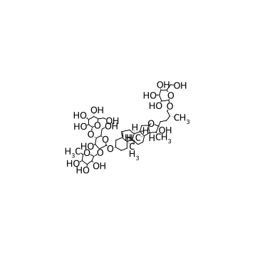 CC1O[C@@H](OC2[C@H](O[C@H]3CC[C@@]4(C)C(=CC[C@H]5[C@@H]6CC7OC(O)(CC[C@@H](C)CO[C@@H]8OC(CO)[C@@H](O)[C@H](O)C8O)[C@@H](C)[C@@H]7[C@@]6(C)CC[C@@H]54)C3)OC(CO)[C@@H](O[C@@H]3OC(CO)[C@@H](O)[C@H](O)C3O)[C@@H]2O)C(O)[C@@H](O)[C@H]1O